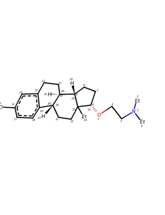 CCN(CC)CCO[C@H]1CC[C@H]2[C@@H]3CCc4cc(OC)ccc4[C@H]3CCC12CC